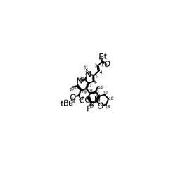 CCC(=O)/C=C/c1cc2c(-c3cc(F)c4c(c3C)CCCO4)c([C@H](OC(C)(C)C)C(=O)O)c(C)nc2n1C